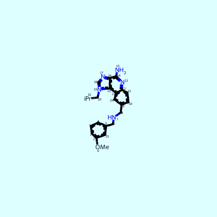 COc1cccc(CNCc2ccc3nc(N)c4ncn(CC(C)C)c4c3c2)c1